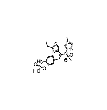 CCc1nc([C@H](Cc2ccc(NS(=O)(=O)O)cc2)N(c2cn(C)cn2)S(C)(=O)=O)cs1